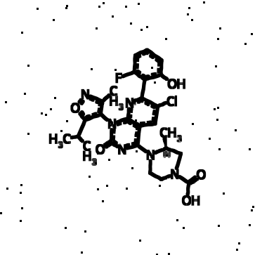 Cc1noc(C(C)C)c1-n1c(=O)nc(N2CCN(C(=O)O)C[C@@H]2C)c2cc(Cl)c(-c3c(O)cccc3F)nc21